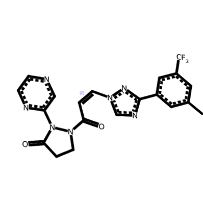 Cc1cc(-c2ncn(/C=C\C(=O)N3CCC(=O)N3c3cnccn3)n2)cc(C(F)(F)F)c1